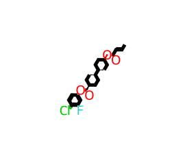 CC=CC(=O)O[C@H]1CC[C@H]([C@H]2CC[C@H](C(=O)Oc3ccc(Cl)c(F)c3)CC2)CC1